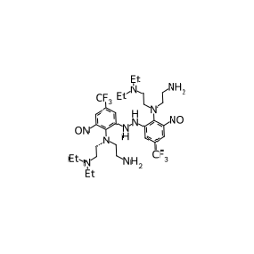 CCN(CC)CCN(CCN)c1c(N=O)cc(C(F)(F)F)cc1NNc1cc(C(F)(F)F)cc(N=O)c1N(CCN)CCN(CC)CC